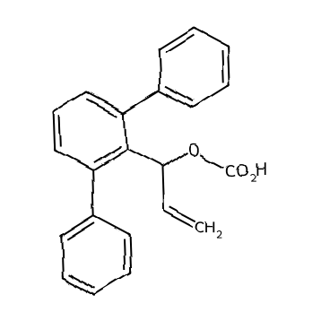 C=CC(OC(=O)O)c1c(-c2ccccc2)cccc1-c1ccccc1